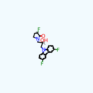 C[C@@](O)(CN1CC[C@@H](F)C1=O)Cn1c2ccc(F)cc2c2cc(F)ccc21